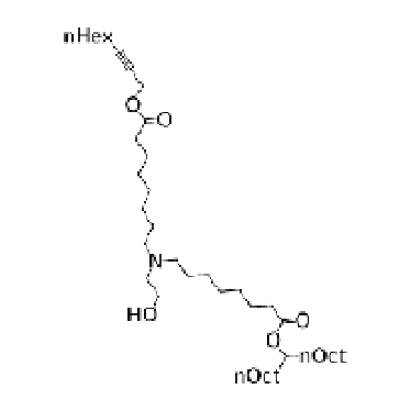 CCCCCCC#CCOC(=O)CCCCCCCN(CCO)CCCCCCCC(=O)OC(CCCCCCCC)CCCCCCCC